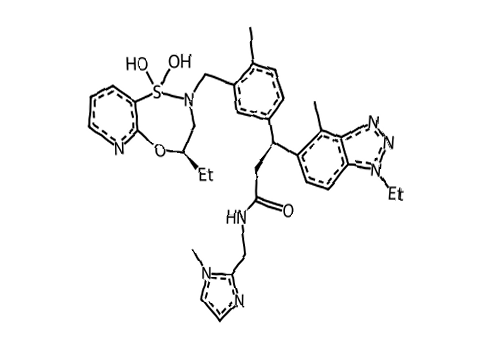 CC[C@@H]1CN(Cc2cc([C@H](CC(=O)NCc3nccn3C)c3ccc4c(nnn4CC)c3C)ccc2C)S(O)(O)c2cccnc2O1